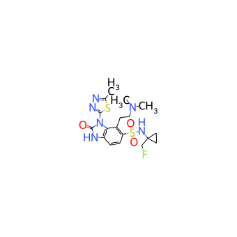 Cc1nnc(-n2c(=O)[nH]c3ccc(S(=O)(=O)NC4(CF)CC4)c(CCN(C)C)c32)s1